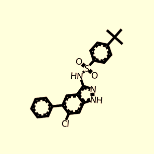 CC(C)(C)c1ccc(S(=O)(=O)Nc2n[nH]c3cc(Cl)c(-c4ccccc4)cc23)cc1